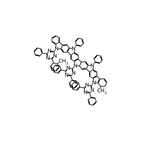 CC1CC=Cc2c1n(-c1nc(-c3ccccc3)nc(-c3ccccc3)n1)c1cc3c4c(n(-c5ccccc5)c3cc21)=CC1c2cc3c(cc2N(c2nc(-c5ccccc5)nc(-c5ccccc5)n2)C1C=4)c1cc2c(cc1n3-c1ccccc1)c1ccccc1n2-c1nc(-c2ccccc2)nc(C2C=CC=CC2C)n1